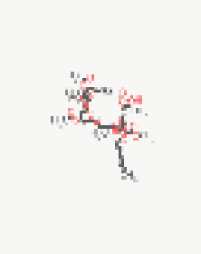 CCC/C=C/C=C/C(=O)OC1/C(=C/C(=O)OC)CC2CC([C@@H](C)O)OC(=O)CCCC3CC(OC(C)=O)C(C)(C)[C@](O)(C[C@@H]4C[C@@H](OC(C)=O)C[C@H](/C=C/C(C)(C)C1(O)O2)O4)O3